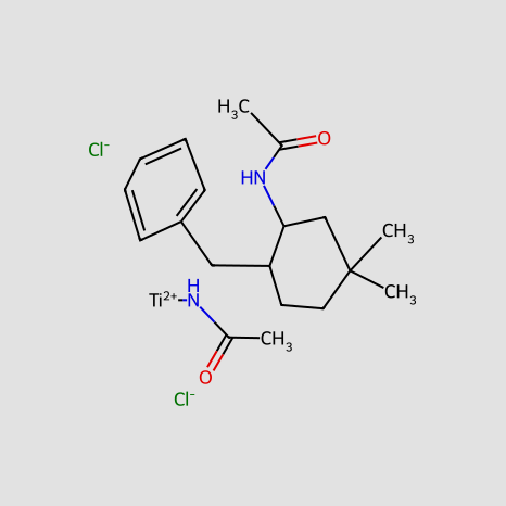 CC(=O)NC1CC(C)(C)CCC1Cc1ccccc1.CC(=O)[NH][Ti+2].[Cl-].[Cl-]